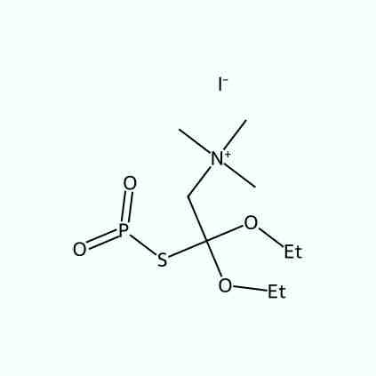 CCOC(C[N+](C)(C)C)(OCC)SP(=O)=O.[I-]